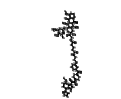 COc1cccc2c1C(=O)c1c(O)c3c(c(O)c1C2=O)C[C@@](O)(C(=O)COC(=O)CCCC(=O)NCCOc1cccc(C(=O)N2CCN(C(=O)C(=O)c4c[nH]c5c(-c6ccco6)ccc(OC)c45)CC2)c1)C[C@@H]3O[C@H]1C[C@H](N)[C@H](O)[C@H](C)O1